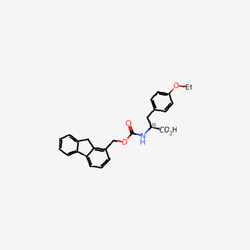 CCOc1ccc(C[C@H](NC(=O)OCc2cccc3c2Cc2ccccc2-3)C(=O)O)cc1